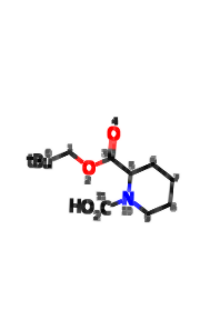 CC(C)(C)COC(=O)C1CCCCN1C(=O)O